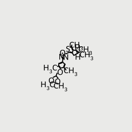 Cc1cc(-c2noc(-c3sc(C)c4c3C[C@@H]3[C@H]4C3(C)C)n2)cc(C)c1OCC1COC(C)(C)OC1